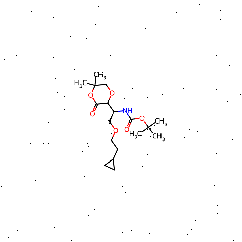 CC(C)(C)OC(=O)N[C@@H](COCCC1CC1)C1OCC(C)(C)OC1=O